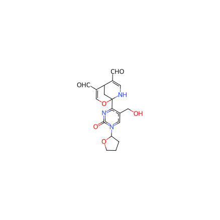 O=CC1=CNC2(c3nc(=O)n(C4CCCO4)cc3CO)CC1C(C=O)=CO2